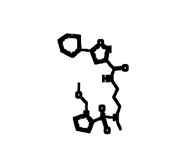 COCn1cccc1S(=O)(=O)N(C)CCCNC(=O)c1cc(-c2ccccc2)on1